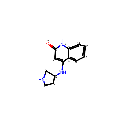 O=c1cc(N[C@H]2CCNC2)c2ccccc2[nH]1